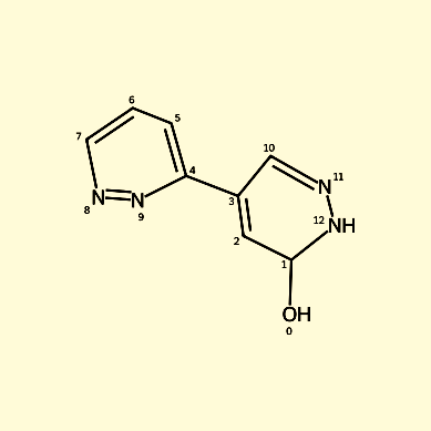 OC1C=C(c2cccnn2)C=NN1